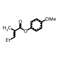 CCC=C(C)C(=O)Oc1ccc(OC)cc1